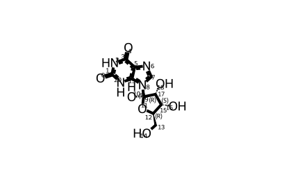 O=c1[nH]c(=O)c2ncn([C@]3(O)O[C@H](CO)[C@@H](O)[C@H]3O)c2[nH]1